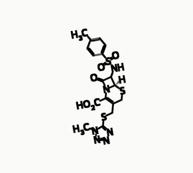 Cc1ccc(S(=O)(=O)NC2C(=O)N3C(C(=O)O)=C(CSc4nnnn4C)CS[C@H]23)cc1